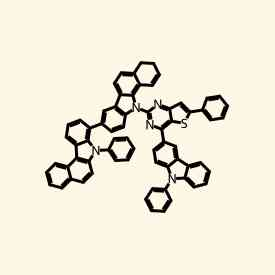 C1=Cc2c(ccc3c4cc(-c5cccc6c7c8ccccc8ccc7n(-c7ccccc7)c56)ccc4n(-c4nc(-c5ccc6c(c5)c5ccccc5n6-c5ccccc5)c5sc(-c6ccccc6)cc5n4)c23)CC1